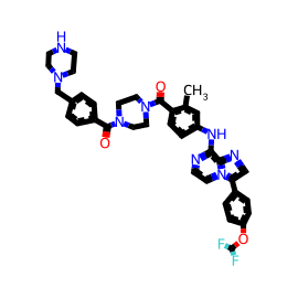 Cc1cc(Nc2nccn3c(-c4ccc(OC(F)F)cc4)cnc23)ccc1C(=O)N1CCN(C(=O)c2ccc(CN3CCNCC3)cc2)CC1